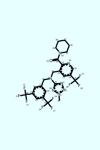 Cn1nnc(N(Cc2cc(C(F)(F)F)cc(C(F)(F)F)c2)Cc2cc(C(F)(F)F)cnc2C(=O)N2CCCCC2)n1